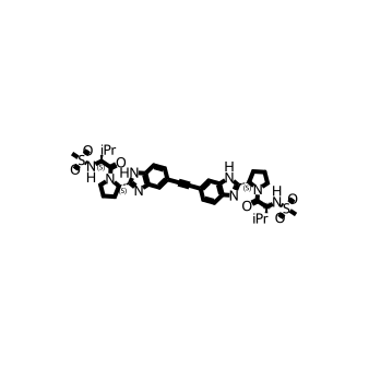 CC(C)[C@H](NS(C)(=O)=O)C(=O)N1CCC[C@H]1c1nc2cc(C#Cc3ccc4nc([C@@H]5CCCN5C(=O)[C@@H](NS(C)(=O)=O)C(C)C)[nH]c4c3)ccc2[nH]1